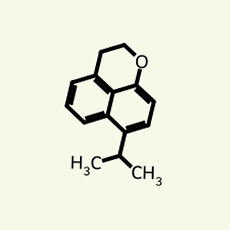 CC(C)c1ccc2c3c(cccc13)CCO2